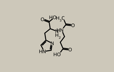 CC(=O)NCCC(=O)O.NC(Cc1c[nH]cn1)C(=O)O